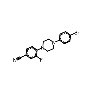 N#Cc1ccc(N2CCN(c3ccc(Br)cc3)CC2)c(F)c1